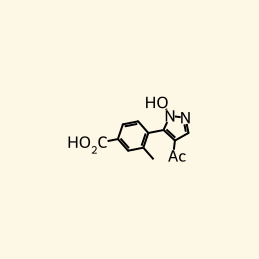 CC(=O)c1cnn(O)c1-c1ccc(C(=O)O)cc1C